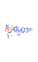 CC1CCC(c2c(C(=O)N(C)C)sc3cnc(Nc4ccc5c(n4)CCNC5)nc23)CC1